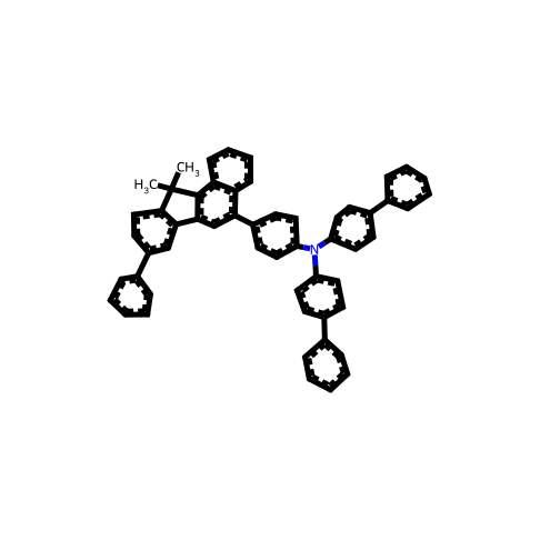 CC1(C)c2ccc(-c3ccccc3)cc2-c2cc(-c3ccc(N(c4ccc(-c5ccccc5)cc4)c4ccc(-c5ccccc5)cc4)cc3)c3ccccc3c21